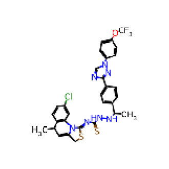 CC1C=C2CS/C(=N\C(=S)NNC(C)c3ccc(-c4ncn(-c5ccc(OC(F)(F)F)cc5)n4)cc3)N2c2cc(Cl)ccc21